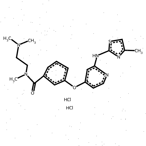 Cc1csc(Nc2cc(Oc3cccc(C(=O)N(C)CCN(C)C)c3)ccn2)n1.Cl.Cl